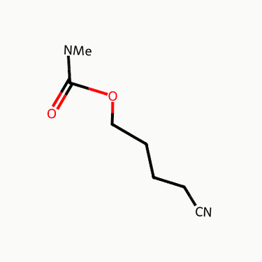 CNC(=O)OCCCCC#N